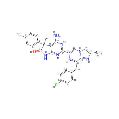 CC1(c2ccc(F)cc2)C(=O)Nc2nc(-c3cn4cc(C(F)(F)F)nc4c(Cc4ccc(F)cc4)n3)nc(N)c21